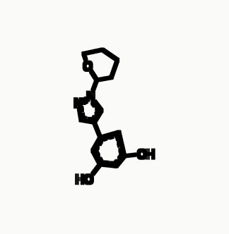 Oc1cc(O)cc(-c2cnn(C3CCCCO3)c2)c1